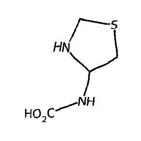 O=C(O)NC1CSCN1